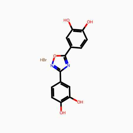 Br.Oc1ccc(-c2noc(-c3ccc(O)c(O)c3)n2)cc1O